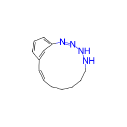 C1=Cc2cccc(c2)N=NNNCCCCC1